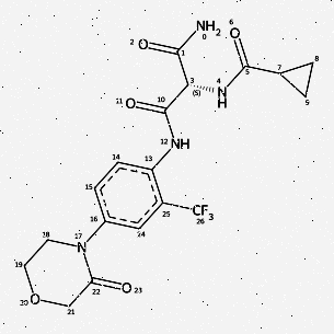 NC(=O)[C@H](NC(=O)C1CC1)C(=O)Nc1ccc(N2CCOCC2=O)cc1C(F)(F)F